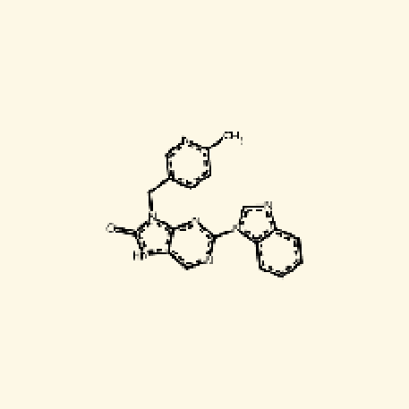 Cc1ccc(Cn2c(=O)[nH]c3cnc(-n4cnc5ccccc54)nc32)cn1